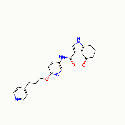 O=C(Nc1ccc(OCCCc2ccncc2)nc1)c1c[nH]c2c1C(=O)CCC2